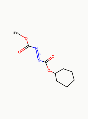 CC(C)OC(=O)/N=N/C(=O)OC1CCCCC1